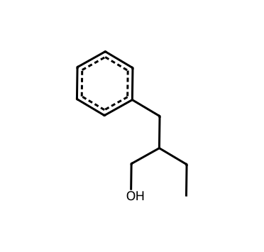 CCC(CO)Cc1ccccc1